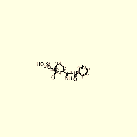 N=C(NC(=O)c1cccnc1)C1CCC2CN1C(=O)N2OS(=O)(=O)O